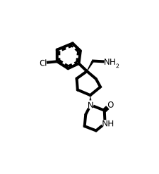 NC[C@]1(c2cccc(Cl)c2)CC[C@@H](N2CCCNC2=O)CC1